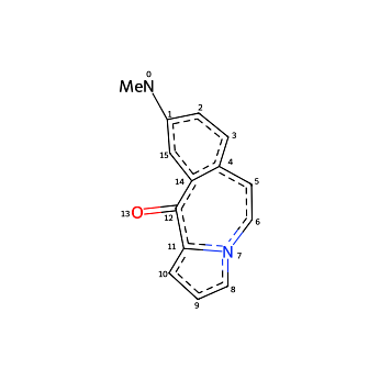 CNc1ccc2ccn3cccc3c(=O)c2c1